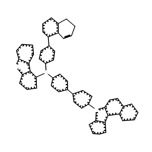 C1=Cc2c(cccc2-c2ccc(N(c3ccc(-c4ccc(-n5c6ccccc6c6c7ccccc7ccc65)cc4)cc3)c3cccc4oc5ccccc5c34)cc2)CC1